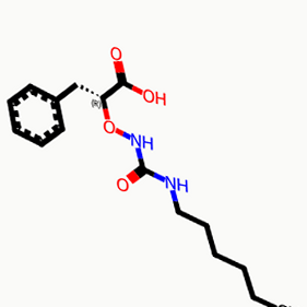 CCCCCCNC(=O)NO[C@H](Cc1ccccc1)C(=O)O